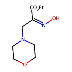 CCOC(=O)C(CN1CCOCC1)=NO